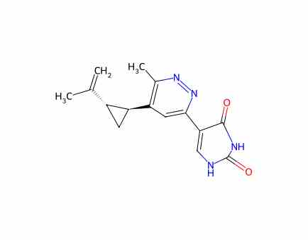 C=C(C)[C@H]1C[C@@H]1c1cc(-c2c[nH]c(=O)[nH]c2=O)nnc1C